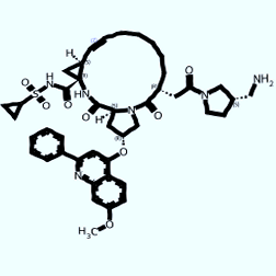 COc1ccc2c(O[C@@H]3C[C@H]4C(=O)N[C@]5(C(=O)NS(=O)(=O)C6CC6)C[C@H]5/C=C\CCCCC[C@H](CC(=O)N5CC[C@@H](CN)C5)C(=O)N4C3)cc(-c3ccccc3)nc2c1